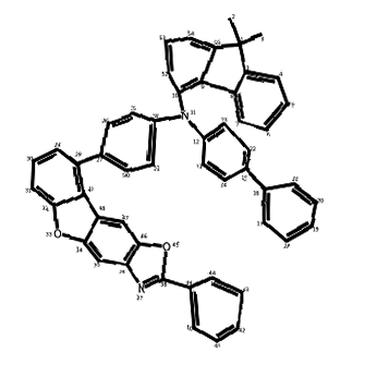 CC1(C)c2ccccc2-c2c(N(c3ccc(-c4ccccc4)cc3)c3ccc(-c4cccc5oc6cc7nc(-c8ccccc8)oc7cc6c45)cc3)cccc21